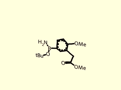 COC(=O)Cc1cc(B(N)OC(C)(C)C)ccc1OC